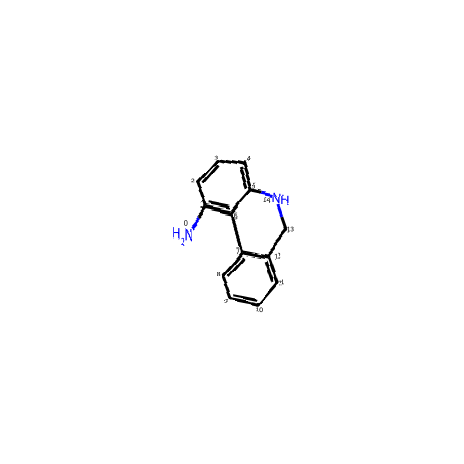 Nc1cccc2c1-c1ccccc1CN2